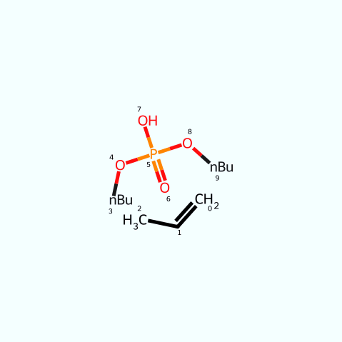 C=CC.CCCCOP(=O)(O)OCCCC